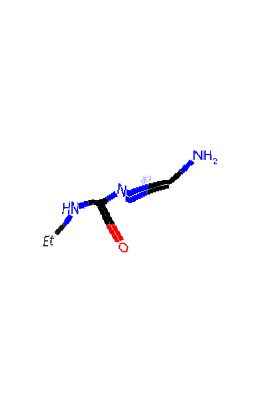 CCNC(=O)/N=C/N